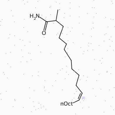 [CH2]C(CCCCCCCC/C=C\CCCCCCCC)C(N)=O